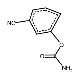 N#Cc1cccc(OC(N)=O)c1